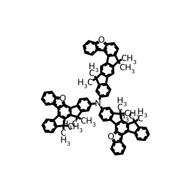 CC1(C)c2cc(N(c3ccc4c(c3)C(C)(C)c3c5c(c6c(oc7ccccc76)c3-4)-c3ccccc3C5(C)C)c3ccc4c(c3)C(C)(C)c3c5c(c6c(oc7ccccc76)c3-4)-c3ccccc3C5(C)C)ccc2-c2cc3c(cc21)-c1c(ccc2oc4ccccc4c12)C3(C)C